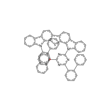 c1ccc(-c2ccccc2-c2nc(-c3ccccc3-c3ccccc3)nc(-n3c4ccccc4c4ccc5c6ccc7c8ccccc8n(-c8ccc9ccccc9c8)c7c6sc5c43)n2)cc1